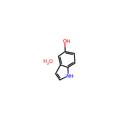 O.Oc1ccc2[nH]ccc2c1